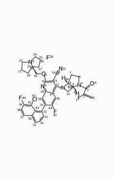 C=C(F)C(=O)N1CC[C@@H]2[C@H]1CN2c1c(C#N)c(OC[C@@]23CCCN2C[C@H](F)C3)nc2cc(-c3cccc4ccc(F)c(Cl)c34)c(F)cc12